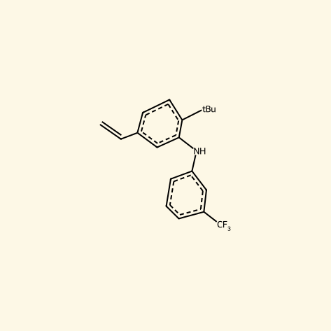 C=Cc1ccc(C(C)(C)C)c(Nc2cccc(C(F)(F)F)c2)c1